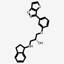 O[C@H](CNC1CCc2ccccc21)COc1cccc(-c2noc3ccsc23)c1